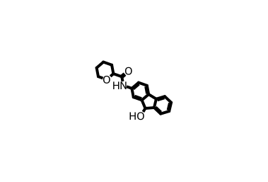 O=C(Nc1ccc2c(c1)C(O)c1ccccc1-2)C1CCCCO1